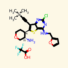 C[Si](C)(C)C#Cc1c([C@@H]2CCOC[C@H]2N)sc2c(NCc3ccco3)nc(Cl)nc12.O=C(O)C(F)(F)F